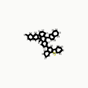 CC1C=CC2=CC(C3(C)c4ccccc4C(C4C=CC5=C(C=CCC5)C4)=C4C=C(c5cc6c(c7c5CCCC7)SC5C=CC=CC65)C=CC43)CC=C2C1